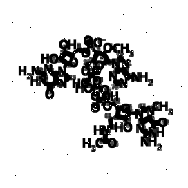 CO[C@@H]1[C@H](P(=O)([O-])OC[C@H]2O[C@@H](n3cnc4c(=O)[nH]c(N)nc43)[C@H](O)[C@@H]2O)[C@@H](COP(=O)(O)OP(=O)(O)OP(=O)(O)OC[C@H]2O[C@@H](n3c[n+](C)c4c(=O)[nH]c(N)nc43)[C@H](O)[C@@H]2CCNC(C)=O)O[C@H]1n1cnc2c(N)ncnc21